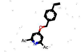 C=Cc1ccc(COc2cc(C(C)=O)nc(C(C)=O)c2)cc1